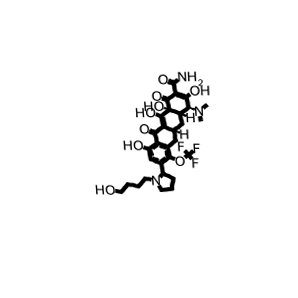 CN(C)[C@@H]1C(O)=C(C(N)=O)C(=O)[C@@]2(O)C(O)=C3C(=O)c4c(O)cc(C5CCCN5CCCCO)c(OC(F)(F)F)c4C[C@H]3C[C@@H]12